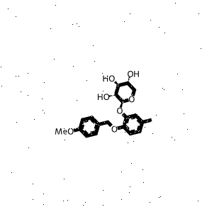 COc1ccc(COc2ccc(C)cc2O[C@@H]2OC[C@@H](O)[C@H](O)[C@H]2O)cc1